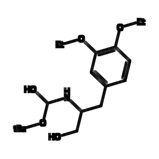 CCOc1ccc(CC(CO)NC(O)OC(C)(C)C)cc1OCC